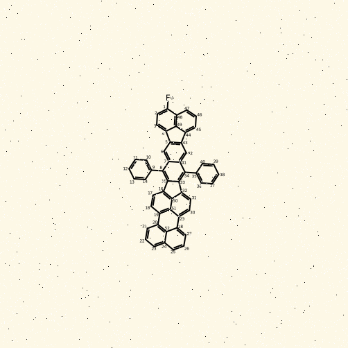 Fc1ccc2c3cc4c(-c5ccccc5)c5c6ccc7c8cccc9cccc(c%10ccc(c5c(-c5ccccc5)c4cc3c3cccc1c32)c6c%107)c98